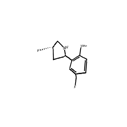 CSc1ccc(F)cc1C1C[C@H](F)CN1